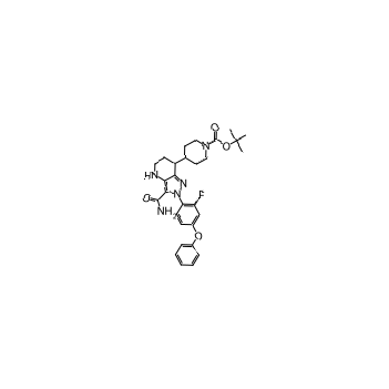 CC(C)(C)OC(=O)N1CCC(C2CCNc3c2nn(-c2ccc(Oc4ccccc4)cc2F)c3C(N)=O)CC1